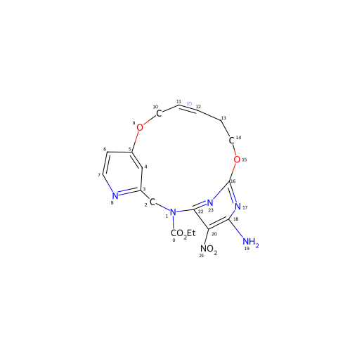 CCOC(=O)N1Cc2cc(ccn2)OC/C=C\CCOc2nc(N)c([N+](=O)[O-])c1n2